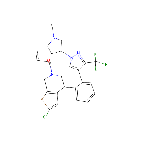 C=CC(=O)N1Cc2sc(Cl)cc2C(c2ccccc2-c2cn(C3CCN(C)C3)nc2C(F)(F)F)C1